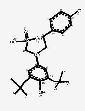 CC(C)(C)c1cc(N(CCc2ccc(Cl)cc2)CP(=O)(O)O)cc(C(C)(C)C)c1O